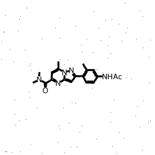 CC(=O)Nc1ccc(-c2cc3nc(C(=O)N(C)C)cc(C)n3n2)c(C)c1